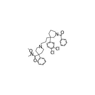 CON(C)C(=O)C1(c2ccccc2)CCN(CCCC2(c3ccc(Cl)c(Cl)c3)CCCN(C(=O)c3ccccc3)C2)CC1